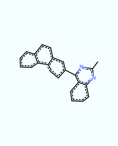 Cc1nc(-c2ccc3c(ccc4ccccc43)c2)c2ccccc2n1